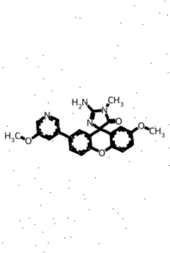 COc1cncc(-c2ccc3c(c2)C2(N=C(N)N(C)C2=O)c2cc(OC)ccc2O3)c1